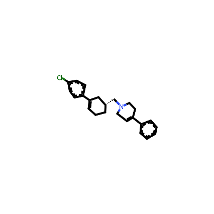 Clc1ccc(C2=CCC[C@@H](CN3CC=C(c4ccccc4)CC3)C2)cc1